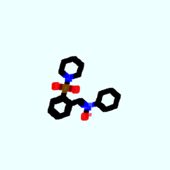 O=S(=O)(c1ccccc1/C=[N+](\[O-])C1CCCCC1)N1CCCCC1